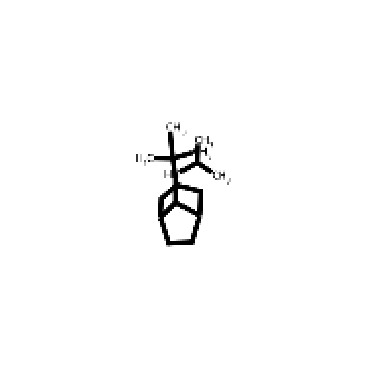 CC(C)NC1C2CCC1CC(C(C)(C)C)C2